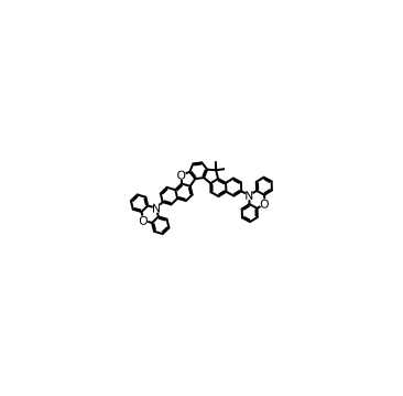 CC1(C)c2ccc3oc4c5ccc(N6c7ccccc7Oc7ccccc76)cc5ccc4c3c2-c2ccc3cc(N4c5ccccc5Oc5ccccc54)ccc3c21